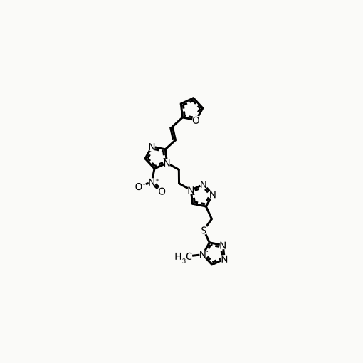 Cn1cnnc1SCc1cn(CCn2c([N+](=O)[O-])cnc2C=Cc2ccco2)nn1